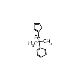 C[C](C)([Fe][C]1=CC=CC1)c1ccccc1